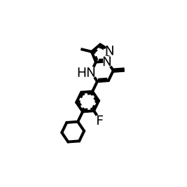 C=C1C=C(c2ccc(C3CCCCC3)c(F)c2)Nc2c(C)cnn21